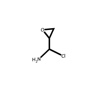 NC(Cl)C1CO1